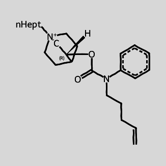 C=CCCCN(C(=O)O[C@H]1C[N+]2(CCCCCCC)CCC1CC2)c1ccccc1